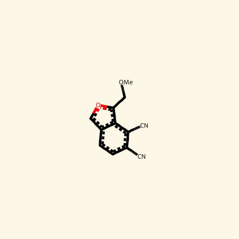 COCc1occ2ccc(C#N)c(C#N)c12